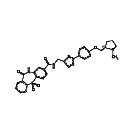 CN1CCC[C@@H]1COc1ccc(-c2ncc(CNC(=O)c3ccc4c(c3)NC(=O)c3ccccc3S4(=O)=O)s2)cc1